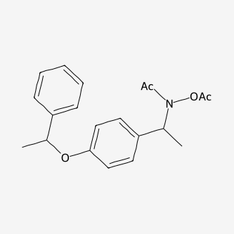 CC(=O)ON(C(C)=O)C(C)c1ccc(OC(C)c2ccccc2)cc1